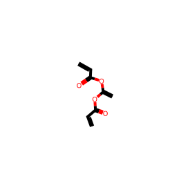 C=CC(=O)OC(=C)OC(=O)C=C